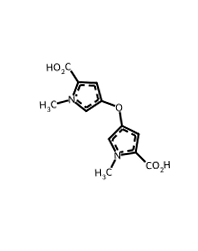 Cn1cc(Oc2cc(C(=O)O)n(C)c2)cc1C(=O)O